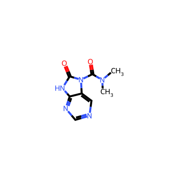 CN(C)C(=O)n1c(=O)[nH]c2ncncc21